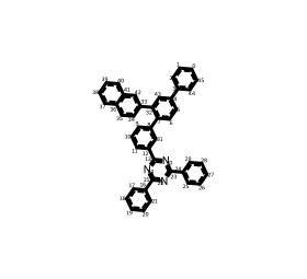 c1ccc(-c2ccc(-c3cccc(-c4nc(-c5ccccc5)nc(-c5ccccc5)n4)c3)c(-c3ccc4ccccc4c3)c2)cc1